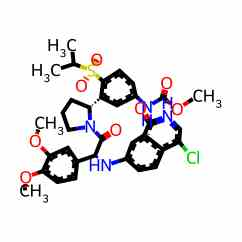 COC(=O)Nc1ccc(S(=O)(=O)C(C)C)c([C@H]2CCCN2C(=O)[C@H](Nc2ccc3c(Cl)c[nH]c(=O)c3c2)c2ccc(OC)c(OC)c2)c1